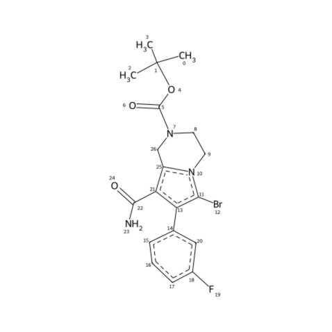 CC(C)(C)OC(=O)N1CCn2c(Br)c(-c3cccc(F)c3)c(C(N)=O)c2C1